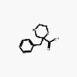 O=C(O)C1(Cc2ccccc2)CNCCO1